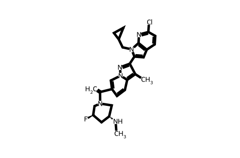 C=C(c1ccc2c(C)c(-c3cc4ccc(Cl)nc4n3CC3CC3)nn2c1)N1C[C@H](F)C[C@@H](NC)C1